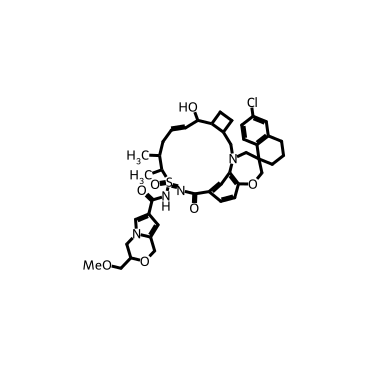 COCC1Cn2cc(C(=O)NS3(=O)=NC(=O)c4ccc5c(c4)N(CC4CCC4C(O)/C=C/CC(C)C3C)CC3(CCCc4cc(Cl)ccc43)CO5)cc2CO1